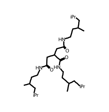 CC(C)CC(C)CCNC(=O)CC(CC(=O)NCCC(C)CC(C)C)C(=O)NCCC(C)CC(C)C